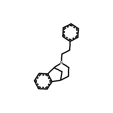 c1ccc(CCN2CCC3CC2c2ccccc23)cc1